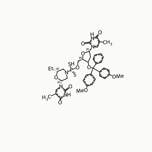 CC[C@@H]1CN(P(=S)(S)OC[C@H]2O[C@@H](n3cc(C)c(=O)[nH]c3=O)CC2OC(c2ccccc2)(c2ccc(OC)cc2)c2ccc(OC)cc2)C[C@H](n2cc(C)c(=O)[nH]c2=O)O1